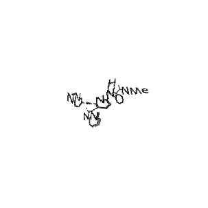 CNC(C)C(=O)Nc1ccc(-c2c(C)nc3ccccn23)c(C#Cc2ccc3nccn3c2)n1